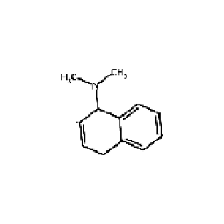 CN(C)C1[C]=CCc2ccccc21